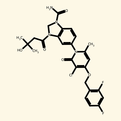 Cc1cc(OCc2ccc(F)cc2F)c(Cl)c(=O)n1-c1ccc2c(c1)N(C(=O)CC(C)(C)O)CN2C(N)=O